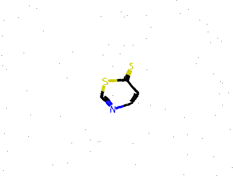 S=c1ccncs1